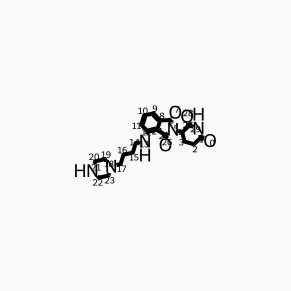 O=C1CCC(N2C(=O)c3cccc(NCCCCN4CCNCC4)c3C2=O)C(=O)N1